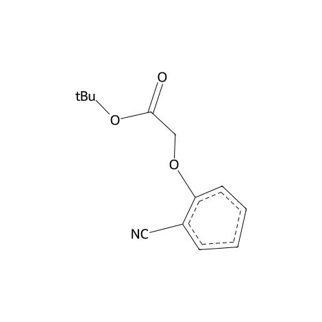 CC(C)(C)OC(=O)COc1ccccc1C#N